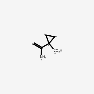 C=C(N)C1(C(=O)O)CC1